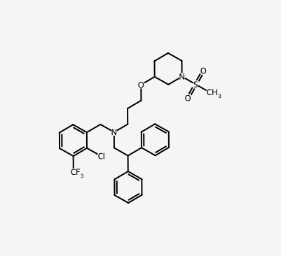 CS(=O)(=O)N1CCCC(OCCCN(Cc2cccc(C(F)(F)F)c2Cl)CC(c2ccccc2)c2ccccc2)C1